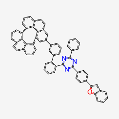 c1ccc(-c2nc(-c3ccc(-c4cc5ccccc5o4)cc3)nc(-c3ccccc3-c3cccc(-c4cc5ccc6cccc7c8cccc9ccc%10cccc(c(c4)c5c67)c%10c98)c3)n2)cc1